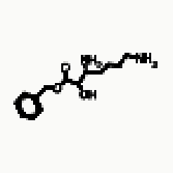 NCCCC[C@H](N)C(O)C(=O)OCc1ccccc1